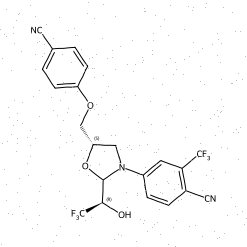 N#Cc1ccc(OC[C@@H]2CN(c3ccc(C#N)c(C(F)(F)F)c3)C([C@@H](O)C(F)(F)F)O2)cc1